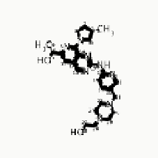 C[C@H]1CCN(c2nc([C@@H](C)O)cc3cnc(Nc4ccc(CN5CCN(CCO)CC5)cn4)nc23)C1